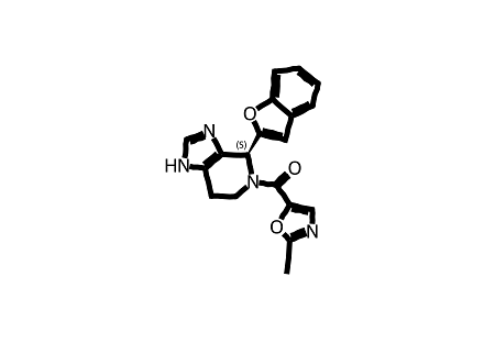 Cc1ncc(C(=O)N2CCc3[nH]cnc3[C@H]2c2cc3ccccc3o2)o1